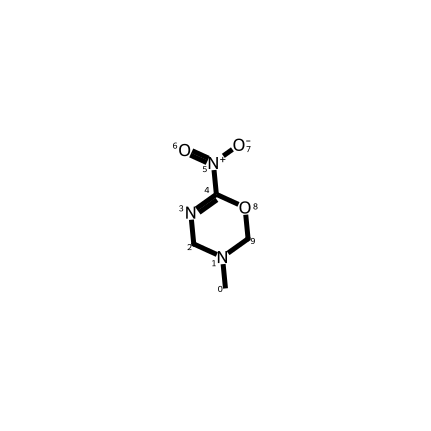 CN1CN=C([N+](=O)[O-])OC1